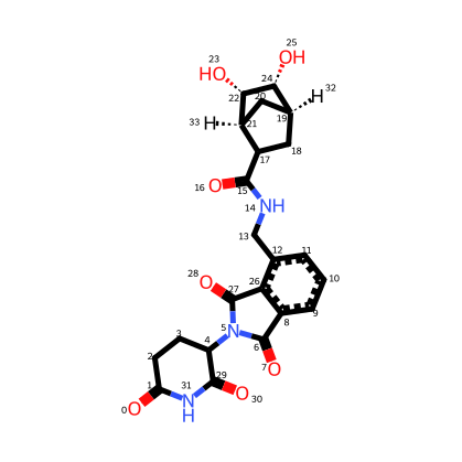 O=C1CCC(N2C(=O)c3cccc(CNC(=O)C4C[C@H]5C[C@@H]4[C@H](O)[C@@H]5O)c3C2=O)C(=O)N1